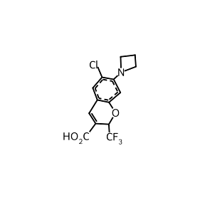 O=C(O)C1=Cc2cc(Cl)c(N3CCC3)cc2OC1C(F)(F)F